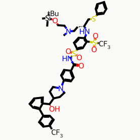 CN(CCO[Si](C)(C)C(C)(C)C)CC[C@H](CSc1ccccc1)Nc1ccc(S(=O)(=O)NC(=O)c2ccc(N3CCC([C@H](O)c4ccccc4-c4ccc(C(F)(F)F)cc4)CC3)cc2)cc1S(=O)(=O)C(F)(F)F